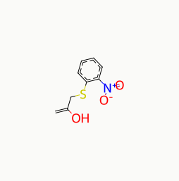 C=C(O)CSc1ccccc1[N+](=O)[O-]